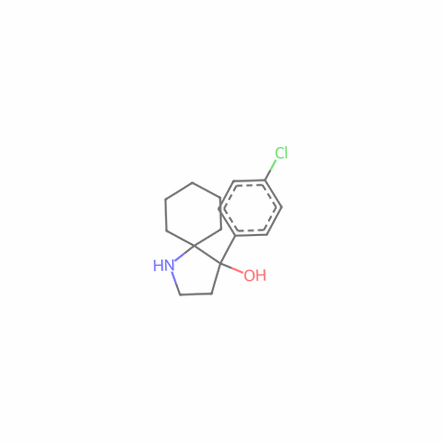 OC1(c2ccc(Cl)cc2)CCNC12CCCCC2